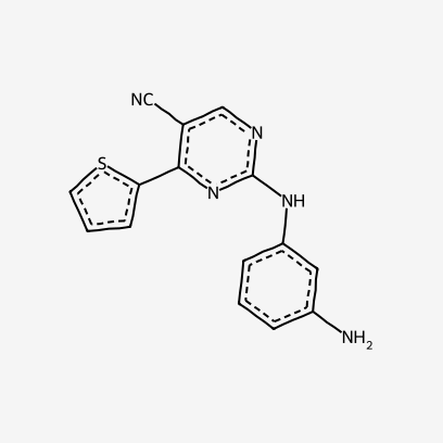 N#Cc1cnc(Nc2cccc(N)c2)nc1-c1cccs1